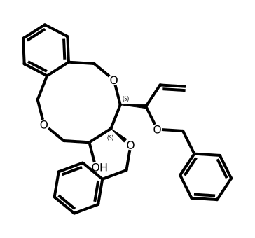 C=CC(OCc1ccccc1)[C@@H]1OCc2ccccc2COCC(O)[C@@H]1OCc1ccccc1